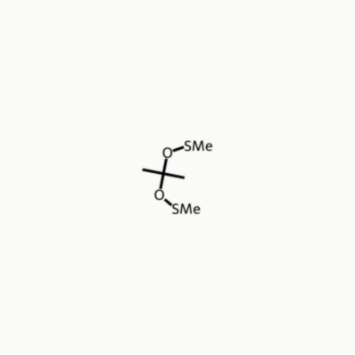 CSOC(C)(C)OSC